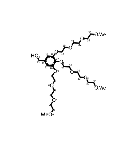 COCCOCCOCCOc1cc(CO)cc(OCCOCCOCCOC)c1OCCOCCOCCOC